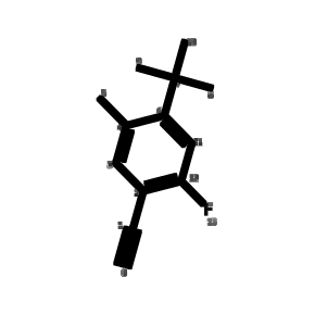 C#Cc1cc(C)c(C(C)(C)C)cc1F